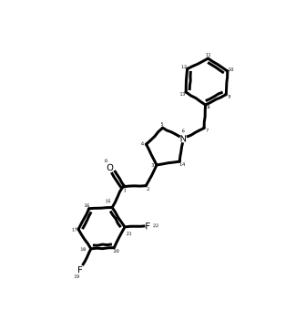 O=C(CC1CCN(Cc2ccccc2)C1)c1ccc(F)cc1F